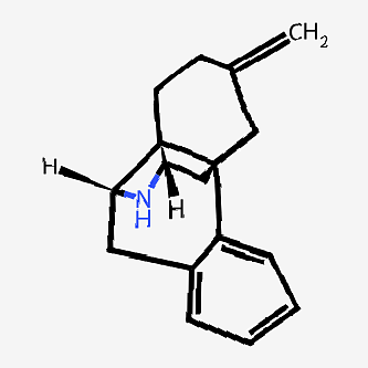 C=C1CC[C@H]2[C@H]3Cc4ccccc4[C@@]2(CCN3)C1